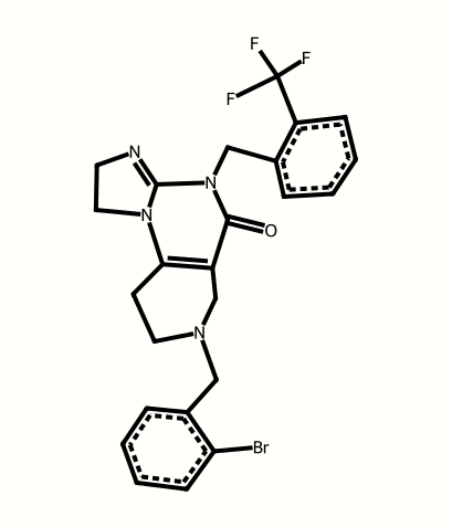 O=C1C2=C(CCN(Cc3ccccc3Br)C2)N2CCN=C2N1Cc1ccccc1C(F)(F)F